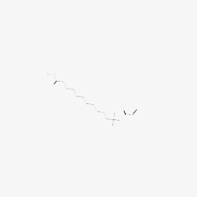 C=CC(=O)OC(C)(C)CCCCCCCCCCC(=O)O